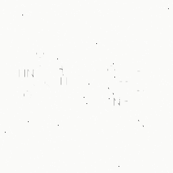 N#Cc1nnc(Oc2ccc3c(c2)C2CC(C2)[C@H]3C2SC(=O)NC2=O)c2ccccc12